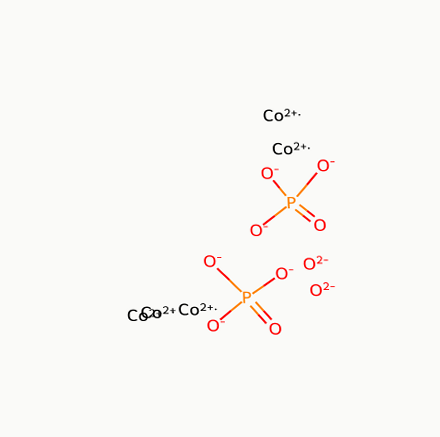 O=P([O-])([O-])[O-].O=P([O-])([O-])[O-].[Co+2].[Co+2].[Co+2].[Co+2].[Co+2].[O-2].[O-2]